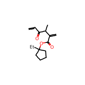 C=CC(=O)C(C)C(=C)C(=O)OC1(CC)CCCC1